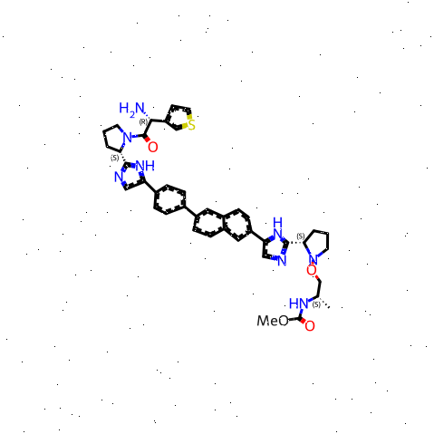 COC(=O)N[C@@H](C)CON1CCC[C@H]1c1ncc(-c2ccc3cc(-c4ccc(-c5cnc([C@@H]6CCCN6C(=O)[C@H](N)c6ccsc6)[nH]5)cc4)ccc3c2)[nH]1